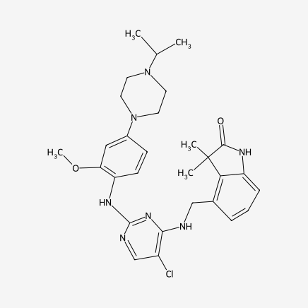 COc1cc(N2CCN(C(C)C)CC2)ccc1Nc1ncc(Cl)c(NCc2cccc3c2C(C)(C)C(=O)N3)n1